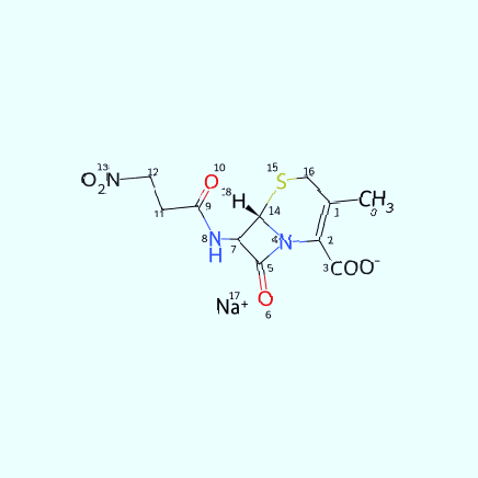 CC1=C(C(=O)[O-])N2C(=O)C(NC(=O)CC[N+](=O)[O-])[C@@H]2SC1.[Na+]